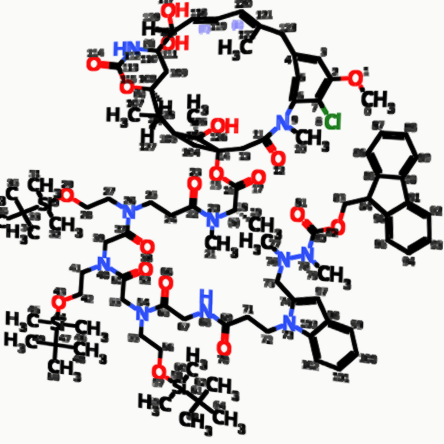 COc1cc2cc(c1Cl)N(C)C(=O)CC1(OC(=O)[C@H](C)N(C)C(=O)CCN(CCO[Si](C)(C)C(C)(C)C)C(=O)CN(CCO[Si](C)(C)C(C)(C)C)C(=O)CN(CCO[Si](C)(C)C(C)(C)C)C(=O)CNC(=O)CCn3c(CN(C)N(C)C(=O)OCC4c5ccccc5-c5ccccc54)cc4ccccc43)CC([C@H](C)[C@@H]3C[C@@](O)(NC(=O)O3)[C@H](O)/C=C/C=C(\C)C2)[C@@]1(C)O